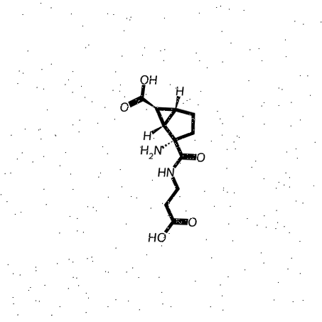 N[C@@]1(C(=O)NCCC(=O)O)CC[C@H]2[C@H](C(=O)O)[C@H]21